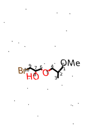 COCC(C)COCC(O)CBr